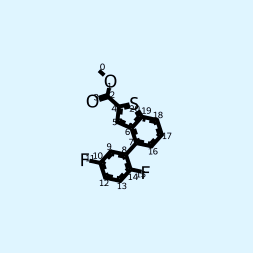 COC(=O)c1cc2c(-c3cc(F)ccc3F)cccc2s1